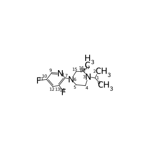 CC(C)N1CCN(c2ncc(F)cc2F)C[C@H]1C